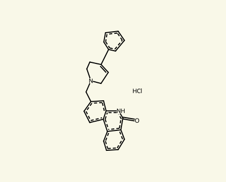 Cl.O=c1[nH]c2cc(CN3CC=C(c4ccccc4)CC3)ccc2c2ccccc12